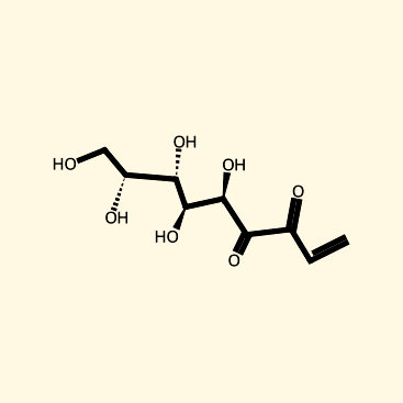 C=CC(=O)C(=O)[C@H](O)[C@@H](O)[C@@H](O)[C@H](O)CO